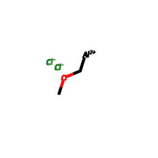 CO[CH2][Al+2].[Cl-].[Cl-]